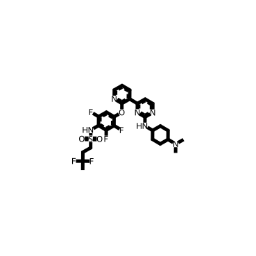 CN(C)C1CCC(Nc2nccc(-c3cccnc3Oc3cc(F)c(NS(=O)(=O)CCC(C)(F)F)c(F)c3F)n2)CC1